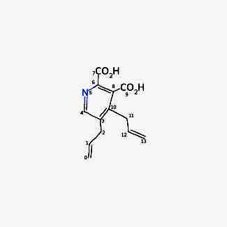 C=CCc1cnc(C(=O)O)c(C(=O)O)c1CC=C